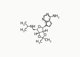 CC(C)NC[C@H]1O[C@@H](c2ccc3c(N)ncnn23)[C@@H]2OC(C)(C)O[C@@H]21